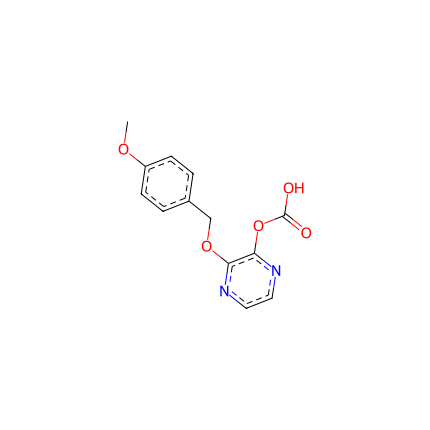 COc1ccc(COc2nccnc2OC(=O)O)cc1